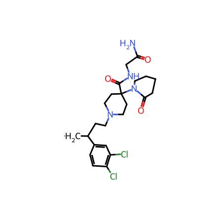 [CH2]C(CCN1CCC(C(=O)NCC(N)=O)(N2CCCCC2=O)CC1)c1ccc(Cl)c(Cl)c1